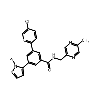 Cc1cnc(CNC(=O)c2cc(-c3ccc(Cl)cn3)cc(-c3ccnn3C(C)C)c2)cn1